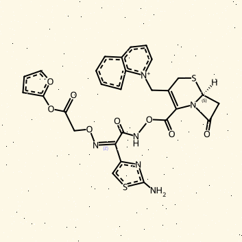 Nc1nc(/C(=N/OCC(=O)Oc2ccco2)C(=O)NOC(=O)C2=C(C[n+]3cccc4ccccc43)CS[C@H]3CC(=O)N23)cs1